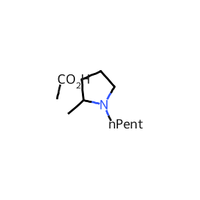 CC(=O)O.CCCCCN1CCCC1C